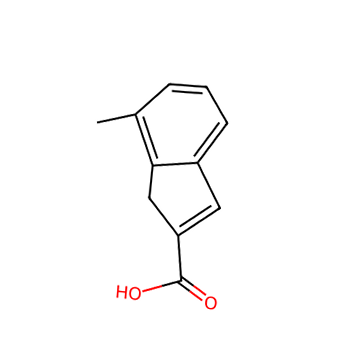 Cc1cccc2c1CC(C(=O)O)=C2